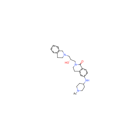 CC(=O)N1CCC(Nc2ccc3c(c2)CCN(C[C@H](O)CN2CCc4ccccc4C2)C3=O)CC1